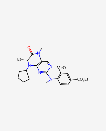 CCOC(=O)c1ccc(N(C)c2ncc3c(n2)N(C2CCCC2)[C@H](CC)C(=O)N3C)c(OC)c1